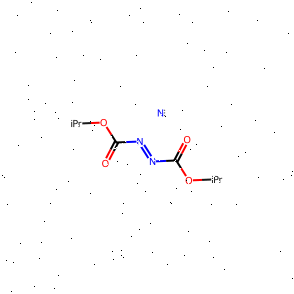 CC(C)OC(=O)/N=N/C(=O)OC(C)C.[N]